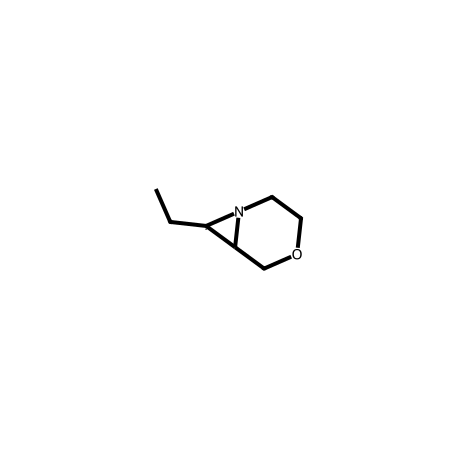 CC[C]1C2COCCN12